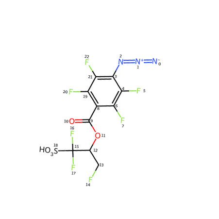 [N-]=[N+]=Nc1c(F)c(F)c(C(=O)OC(CF)C(F)(F)S(=O)(=O)O)c(F)c1F